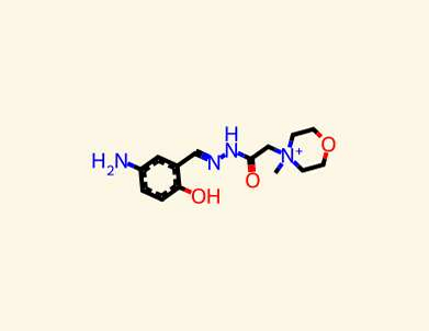 C[N+]1(CC(=O)N/N=C/c2cc(N)ccc2O)CCOCC1